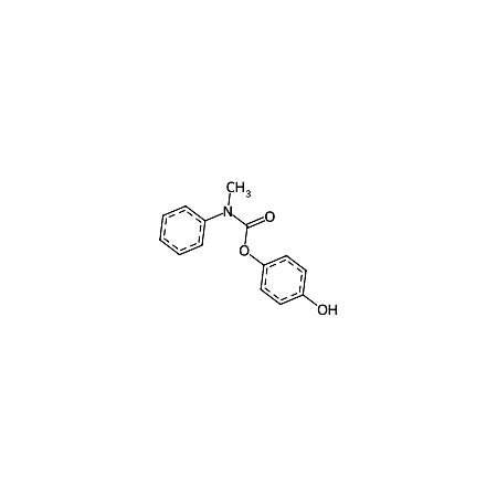 CN(C(=O)Oc1ccc(O)cc1)c1ccccc1